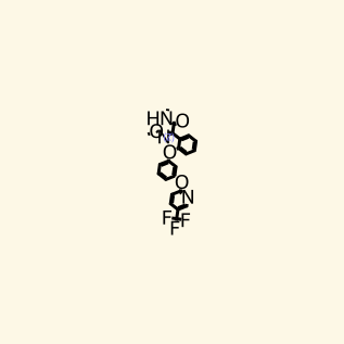 CNC(=O)/C(=N\OC)c1ccccc1Oc1cccc(Oc2ccc(C(F)(F)F)cn2)c1